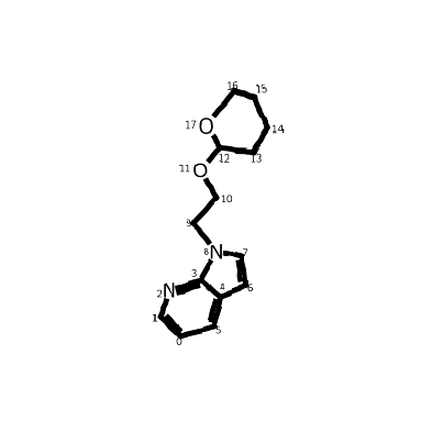 c1cnc2c(c1)ccn2CCOC1CCCCO1